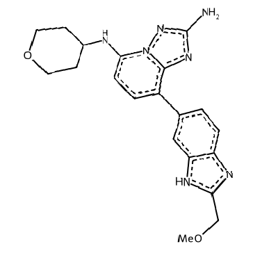 COCc1nc2ccc(-c3ccc(NC4CCOCC4)n4nc(N)nc34)cc2[nH]1